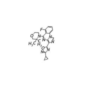 CC1(C)COCCN1c1nc2c(-c3nc(C4CC4)no3)ncn2c2cccc(F)c12